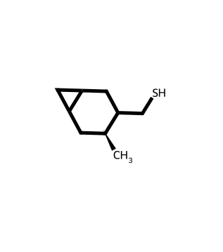 C[C@H]1CC2CC2CC1CS